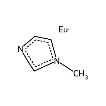 Cn1ccnc1.[Eu]